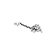 CCCCCCCCCn1cc(C(C)(C)C)[n+](C)c1